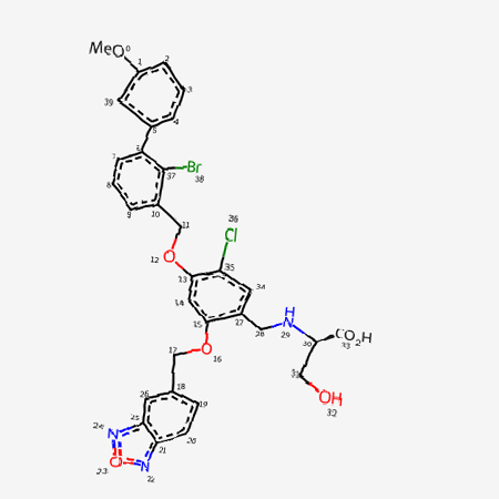 COc1cccc(-c2cccc(COc3cc(OCc4ccc5nonc5c4)c(CN[C@H](CO)C(=O)O)cc3Cl)c2Br)c1